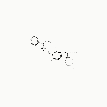 COC(=O)C1(c2ccc(CN3[C@@H](C)CC[C@H](c4ccccc4)S3(=O)=O)c(F)c2)CCN(C(C)=O)CC1